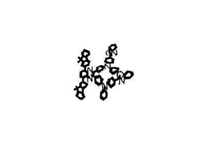 CC1(C)c2ccccc2-c2ccc(-c3ccc(-c4ccc5c(c4)C(C)(C)c4ccccc4-5)c4nc(-c5ccc(N(c6ccccc6)c6ccc(-c7nc8ccccc8o7)cc6)cc5)c(-c5ccc(N(c6ccccc6)c6ccc(-c7nc8ccccc8o7)cc6)cc5)nc34)cc21